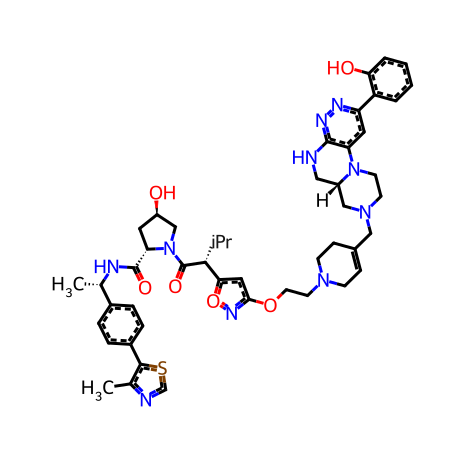 Cc1ncsc1-c1ccc([C@H](C)NC(=O)[C@@H]2C[C@@H](O)CN2C(=O)[C@@H](c2cc(OCCN3CC=C(CN4CCN5c6cc(-c7ccccc7O)nnc6NC[C@H]5C4)CC3)no2)C(C)C)cc1